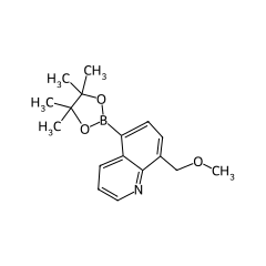 COCc1ccc(B2OC(C)(C)C(C)(C)O2)c2cccnc12